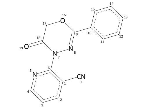 N#Cc1cccnc1N1N=C(c2ccccc2)OCC1=O